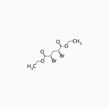 CCOC(=O)[C@H](Br)C[C@H](Br)C(=O)OCC